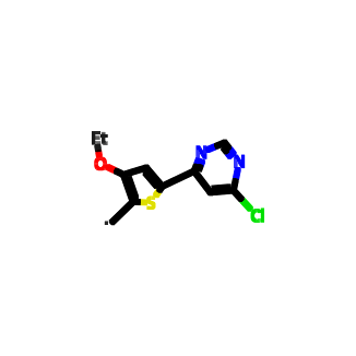 [CH2]c1sc(-c2cc(Cl)ncn2)cc1OCC